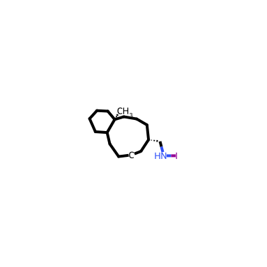 C[C@@]12CCCCC1CCCC[C@@H](CNI)CCC2